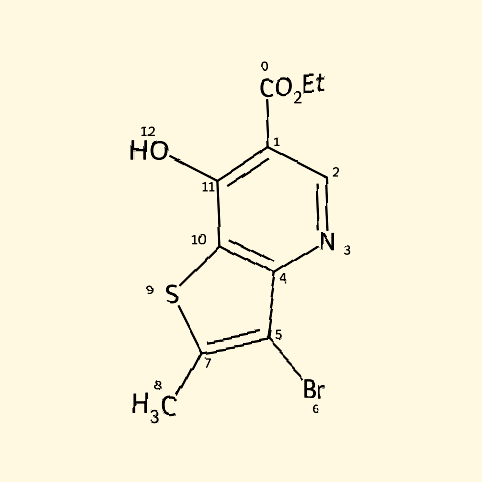 CCOC(=O)c1cnc2c(Br)c(C)sc2c1O